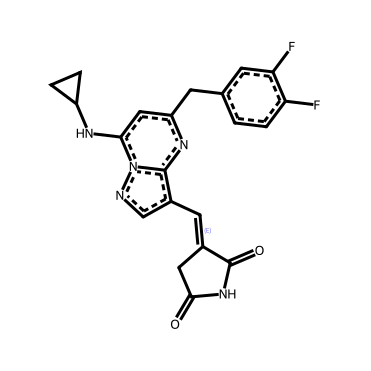 O=C1C/C(=C\c2cnn3c(NC4CC4)cc(Cc4ccc(F)c(F)c4)nc23)C(=O)N1